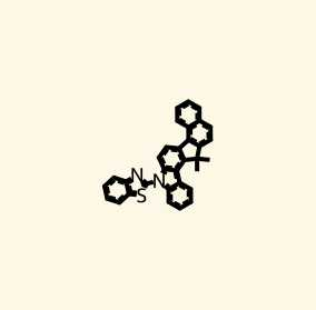 CC1(C)c2ccc3ccccc3c2-c2ccc3c(c21)c1ccccc1n3-c1nc2ccccc2s1